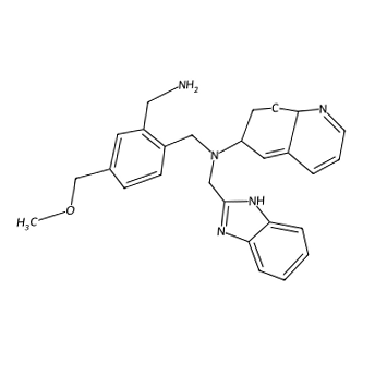 COCc1ccc(CN(Cc2nc3ccccc3[nH]2)C2C=C3C=CC=NC3CC2)c(CN)c1